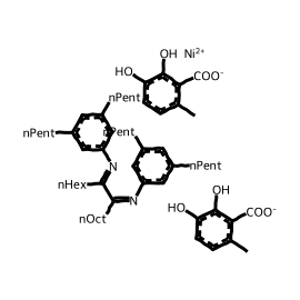 CCCCCCCCC(=Nc1cc(CCCCC)cc(CCCCC)c1)C(CCCCCC)=Nc1cc(CCCCC)cc(CCCCC)c1.Cc1ccc(O)c(O)c1C(=O)[O-].Cc1ccc(O)c(O)c1C(=O)[O-].[Ni+2]